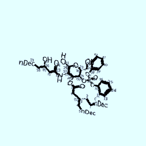 CCCCCCCCCCCC[C@H](CCCCCCCCCCC)CC(=O)O[C@@H]1[C@H](NC(=O)C[C@H](O)CCCCCCCCCCC)[C@@H](O)O[C@H](CO)[C@H]1OP(=O)(Oc1ccccc1)Oc1ccccc1